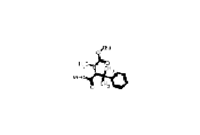 COC(=O)[C@@H](N(C)C(=O)OC(C)(C)C)C(C)(C)c1ccccc1